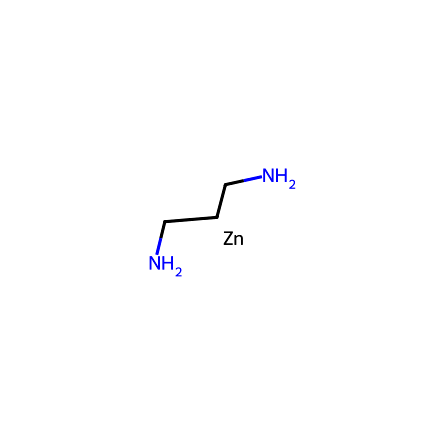 NCCCN.[Zn]